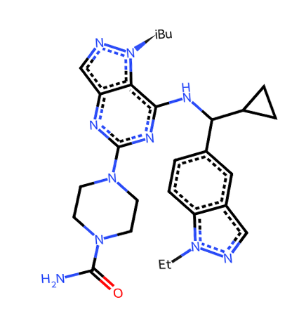 CC[C@H](C)n1ncc2nc(N3CCN(C(N)=O)CC3)nc(NC(c3ccc4c(cnn4CC)c3)C3CC3)c21